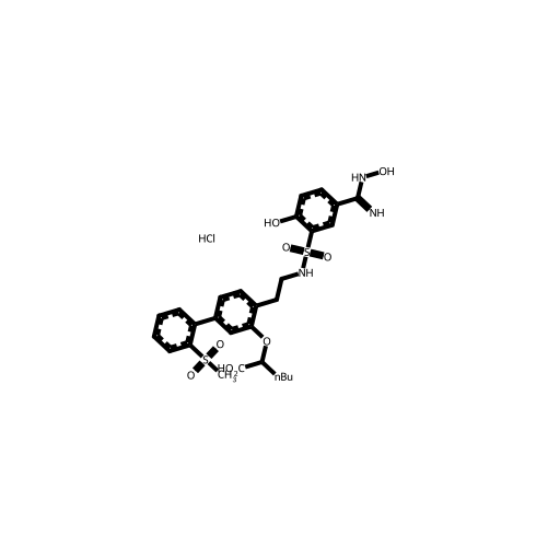 CCCCC(Oc1cc(-c2ccccc2S(C)(=O)=O)ccc1CCNS(=O)(=O)c1cc(C(=N)NO)ccc1O)C(=O)O.Cl